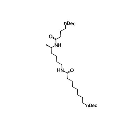 CCCCCCCCCCCCCCCCCC(=O)NCCCC[C@@H](C)NC(=O)CCCCCCCCCCCCC